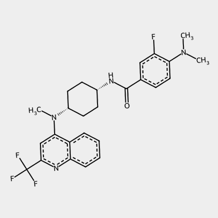 CN(C)c1ccc(C(=O)N[C@H]2CC[C@@H](N(C)c3cc(C(F)(F)F)nc4ccccc34)CC2)cc1F